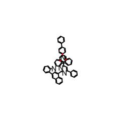 c1ccc(-c2ccc(-n3c4ccccc4c4cc(-n5c6ccccc6c6cc7ccccc7c(-c7nc(-c8ccccc8)cc(-c8ccccc8)n7)c65)ccc43)cc2)cc1